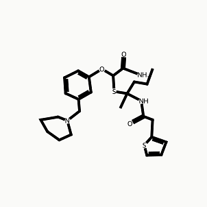 CCCC(C)(NC(=O)Cc1cccs1)SC(Oc1cccc(CN2CCCCC2)c1)C(N)=O